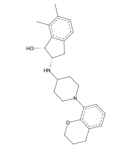 Cc1ccc2c(c1C)[C@@H](O)[C@@H](NC1CCN(c3cccc4c3OCCC4)CC1)C2